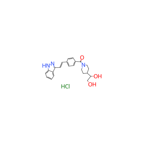 Cl.O=C(c1ccc(C=Cc2n[nH]c3ccccc23)cc1)N1CCC(C(O)CO)CC1